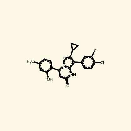 Cc1ccc(-c2cc(=O)[nH]c3c(-c4ccc(Cl)c(Cl)c4)c(C4CC4)nn23)c(O)c1